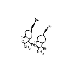 CCC(C(N)=O)N1CCC(C#CC(C)C)CCC1=O.CCC(C(N)=O)N1CCC(C#CC2CC2)CCC1=O